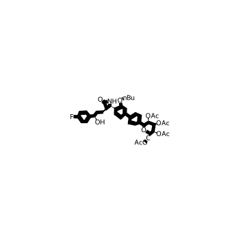 CCCCOc1cc(-c2ccc(C3O[C@H](COC(C)=O)[C@@H](OC(C)=O)[C@H](OC(C)=O)[C@H]3OC(C)=O)cc2)ccc1[C@H]1NC(=O)[C@@H]1CC[C@H](O)c1ccc(F)cc1